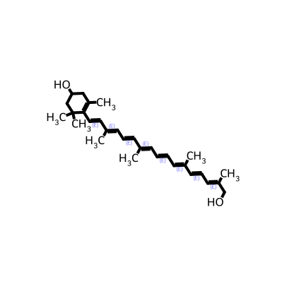 CC1=C(/C=C/C(C)=C/C=C/C(C)=C/C=C/C=C(C)/C=C/C=C(\C)CO)C(C)(C)CC(O)C1